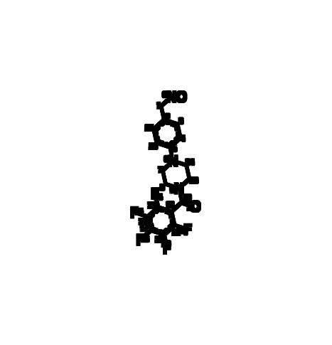 O=NCc1ccc(N2CCN(C(=O)c3c(F)c(F)c(F)c(F)c3F)CC2)cc1